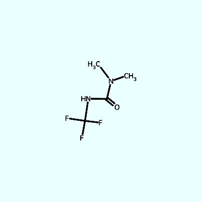 CN(C)C(=O)NC(F)(F)F